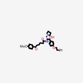 COc1ccc(C(=O)CCCCC(=O)N[C@H](CN2CCCC2)[C@H](O)c2ccc(OCCC(C)C)cc2)cc1